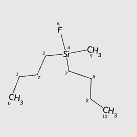 CCCC[Si](C)(F)CCCC